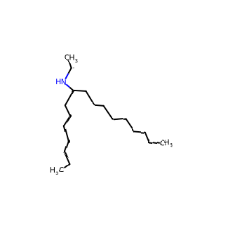 C[CH]NC(CCCCCCC)CCCCCCCCC